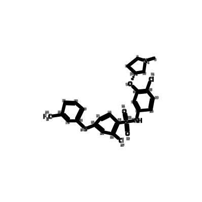 CN1CC[C@@H](Oc2cc(NS(=O)(=O)c3ccc(Sc4cccc(C(F)(F)F)c4)cc3Cl)ccc2Cl)C1